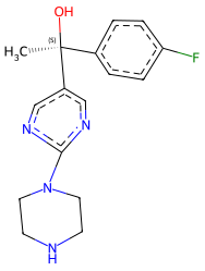 C[C@](O)(c1ccc(F)cc1)c1cnc(N2CCNCC2)nc1